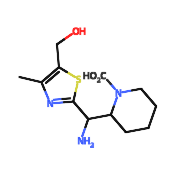 Cc1nc(C(N)C2CCCCN2C(=O)O)sc1CO